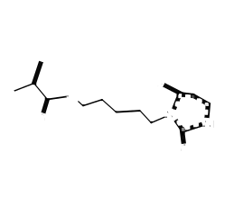 C=C(C)C(=O)OCCCCCn1c(=O)cc[nH]c1=O